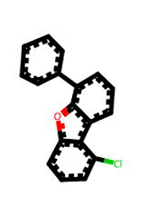 Clc1cccc2oc3c(-c4ccccc4)cccc3c12